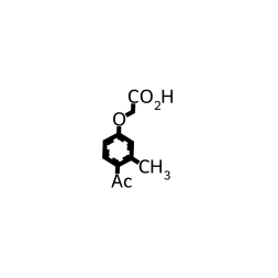 CC(=O)c1ccc(OCC(=O)O)cc1C